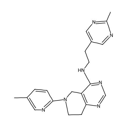 Cc1ccc(N2CCc3ncnc(NCCc4cnc(C)nc4)c3C2)nc1